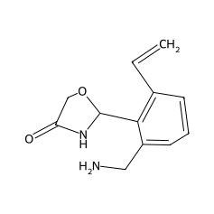 C=Cc1cccc(CN)c1C1NC(=O)CO1